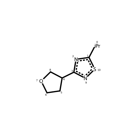 CC(C)c1nc(C2CCOC2)ns1